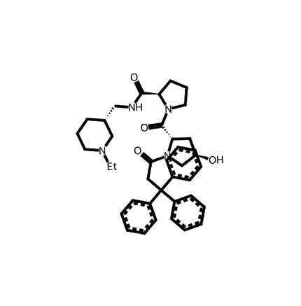 CCN1CCC[C@H](CNC(=O)[C@H]2CCCN2C(=O)[C@@H]2C[C@@H](O)CN2C(=O)CC(c2ccccc2)(c2ccccc2)c2ccccc2)C1